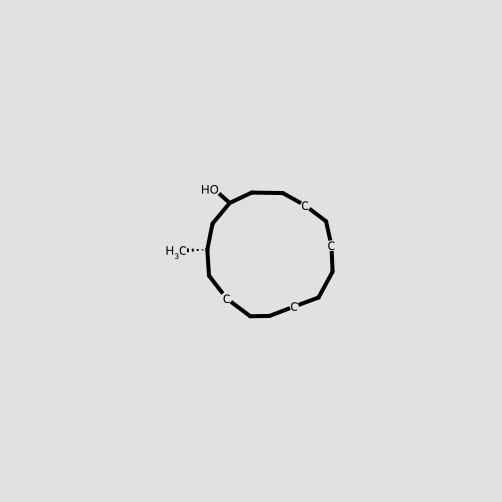 C[C@H]1CCCCCCCCCCCCC(O)C1